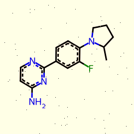 CC1CCCN1c1ccc(-c2nccc(N)n2)cc1F